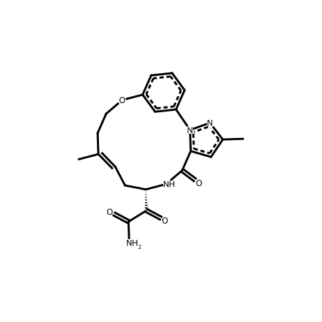 C/C1=C\C[C@@H](C(=O)C(N)=O)NC(=O)c2cc(C)nn2-c2cccc(c2)OCC1